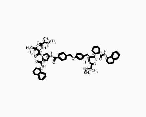 CN[C@@H](C)C(=O)N[C@@H](Cc1ccc(OCc2ccc(C(=O)N[C@H]3C[C@@H](C(=O)N[C@@H]4CCCc5ccccc54)N(C(=O)[C@@H](NC(=O)[C@H](C)NC)C(C)(C)C)C3)cc2)cc1)C(=O)[C@@H]1CC=CC[C@@H]1C(=O)N[C@@H]1CCCc2ccccc21